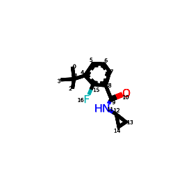 CC(C)(C)c1cccc(C(=O)NC2CC2)c1F